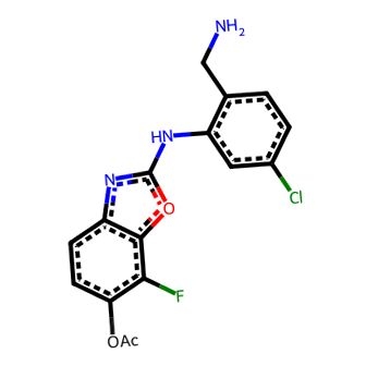 CC(=O)Oc1ccc2nc(Nc3cc(Cl)ccc3CN)oc2c1F